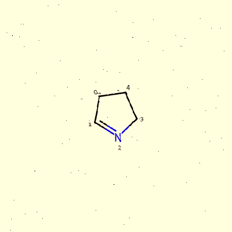 [C]1C=NCC1